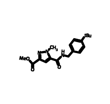 COC(=O)c1cc(C(=O)NCc2ccc(C(C)(C)C)cc2)n(C)n1